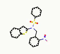 O=[N+]([O-])c1ccccc1CN(c1cc2ccccc2s1)S(=O)(=O)c1ccccc1